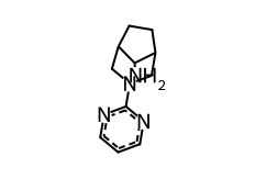 NC1C2CCC1CN(c1ncccn1)C2